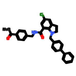 COC(=O)c1ccc(CNC(=O)c2cc(Cl)cc3ccn(Cc4ccc(-c5ccccc5)cc4)c23)cc1